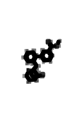 COC(=O)c1cccc(-c2ccccc2CC2C(=O)C3CCN2CC3)c1